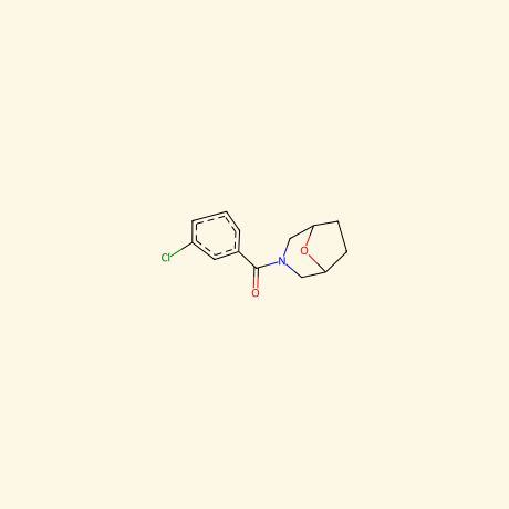 O=C(c1cccc(Cl)c1)N1CC2CCC(C1)O2